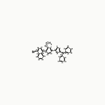 COc1cc(-c2ccc(N(c3ccccc3)c3ccccc3)s2)ccc1-c1ccc(Br)c2ccccc12